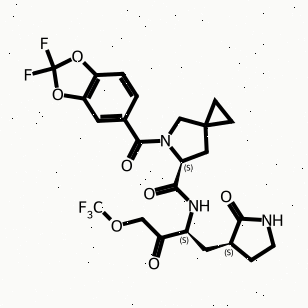 O=C1NCC[C@H]1C[C@H](NC(=O)[C@@H]1CC2(CC2)CN1C(=O)c1ccc2c(c1)OC(F)(F)O2)C(=O)COC(F)(F)F